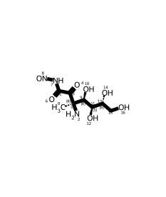 C[C@](N)(C(=O)C(=O)NN=O)[C@@H](O)[C@H](O)[C@H](O)CO